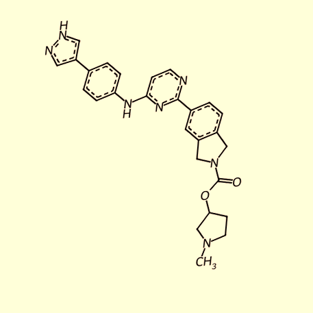 CN1CCC(OC(=O)N2Cc3ccc(-c4nccc(Nc5ccc(-c6cn[nH]c6)cc5)n4)cc3C2)C1